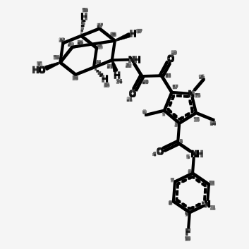 Cc1c(C(=O)Nc2ccc(F)nc2)c(C)n(C)c1C(=O)C(=O)N[C@@H]1[C@@H]2C[C@@H]3C[C@H]1C[C@@](O)(C3)C2